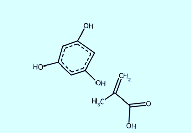 C=C(C)C(=O)O.Oc1cc(O)cc(O)c1